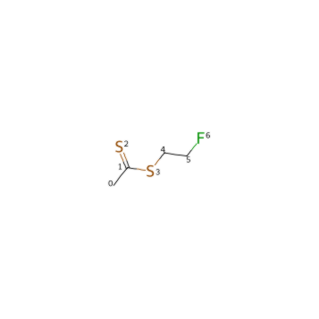 CC(=S)SCCF